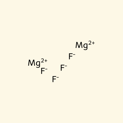 [F-].[F-].[F-].[F-].[Mg+2].[Mg+2]